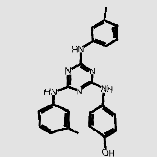 Cc1cccc(Nc2nc(Nc3ccc(O)cc3)nc(Nc3cccc(C)c3)n2)c1